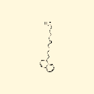 [CH2]CCCCOCCCCc1cccc2ccccc12